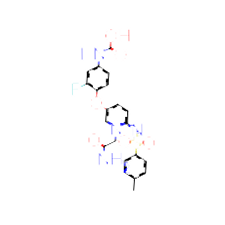 Cc1ccc(S(=O)(=O)/N=c2/ccc(Oc3ccc(NC(=O)O)cc3F)cn2CC(N)=O)cc1